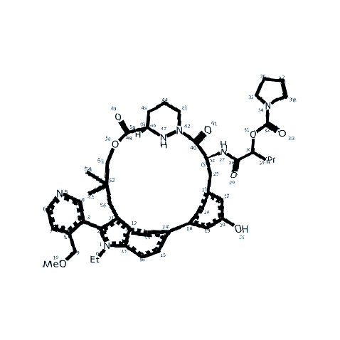 CCn1c(-c2cnccc2COC)c2c3cc(ccc31)-c1cc(O)cc(c1)C[C@H](NC(=O)C(OC(=O)N1CCCC1)C(C)C)C(=O)N1CCC[C@H](N1)C(=O)OCC(C)(C)C2